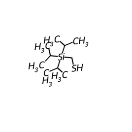 CC(C)[Si](CS)(C(C)C)C(C)C